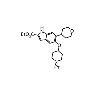 CCOC(=O)c1cc2cc(OC3CCN(C(C)C)CC3)c(C3CCOCC3)cc2[nH]1